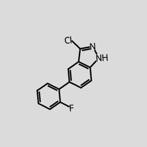 Fc1ccccc1-c1ccc2[nH]nc(Cl)c2c1